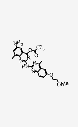 COCCOc1ccc2nc(Nc3nc(OC(=O)C(F)(F)F)c4cc(N)cc(C)c4n3)nc(C)c2c1